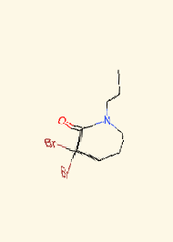 CCCN1CCCC(Br)(Br)C1=O